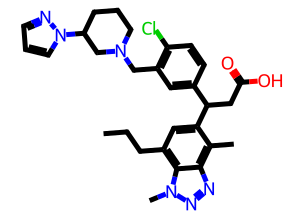 CCCc1cc(C(CC(=O)O)c2ccc(Cl)c(CN3CCCC(n4cccn4)C3)c2)c(C)c2nnn(C)c12